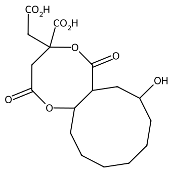 O=C(O)CC1(C(=O)O)CC(=O)OC2CCCCCCC(O)CC2C(=O)O1